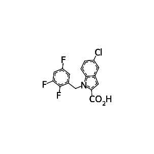 O=C(O)c1cc2cc(Cl)ccc2n1Cc1cc(F)cc(F)c1F